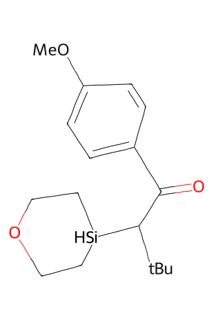 COc1ccc(C(=O)C([SiH]2CCOCC2)C(C)(C)C)cc1